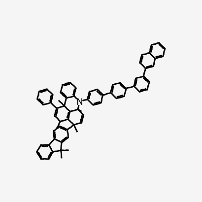 CC1C=C(c2ccccc2)C2(C)C3=C1C(C)(c1ccc4c(c1)C(C)(C)c1ccccc1-4)C=CC3(C)N(c1ccc(-c3ccc(-c4cccc(-c5ccc6ccccc6c5)c4)cc3)cc1)c1ccccc12